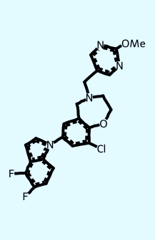 COc1ncc(CN2CCOc3c(Cl)cc(-n4ccc5c(F)c(F)ccc54)cc3C2)cn1